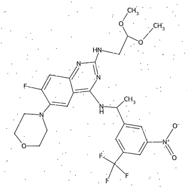 COC(CNc1nc(NC(C)c2cc([N+](=O)[O-])cc(C(F)(F)F)c2)c2cc(N3CCOCC3)c(F)cc2n1)OC